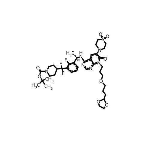 C[C@@H](Nc1ncnc2c1cc(N1CCS(=O)(=O)CC1)c(=O)n2CCCOCCCC1OCCO1)c1cccc(C(F)(F)C2CCN(C(=O)OC(C)(C)C)CC2)c1F